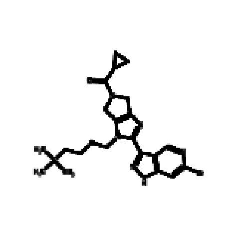 C[Si](C)(C)CCOCn1c(-c2n[nH]c3cc(Br)ncc23)nc2c1CN(C(=O)C1CC1)C2